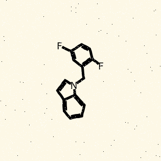 Fc1ccc(F)c(Cn2ccc3ccccc32)c1